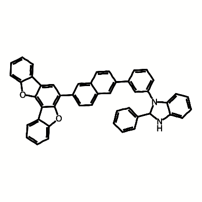 c1ccc(C2Nc3ccccc3N2c2cccc(-c3ccc4cc(-c5cc6c7ccccc7oc6c6c5oc5ccccc56)ccc4c3)c2)cc1